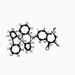 Cc1cn(C)c2ccc(N3c4ccccc4[Si]4(c5ccccc5-c5ccccc54)c4ccccc43)cc2c1=O